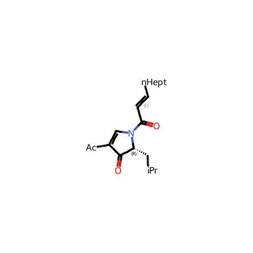 CCCCCCC/C=C/C(=O)N1C=C(C(C)=O)C(=O)[C@H]1CC(C)C